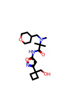 CN(CC1CCOCC1)C(C)(C)C(=O)Nc1cc(C2(CO)CCC2)no1